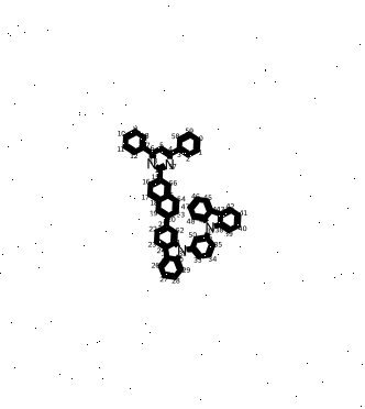 c1ccc(-c2cc(-c3ccccc3)nc(-c3ccc4cc(-c5ccc6c7ccccc7n(-c7cccc(-n8c9ccccc9c9ccccc98)c7)c6c5)ccc4c3)n2)cc1